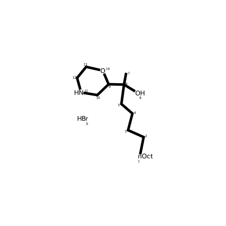 Br.CCCCCCCCCCCCC(C)(O)C1CNCCO1